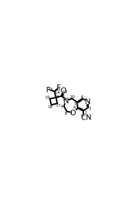 N#Cc1cncc2c1OCCN(C(=O)C1(C(F)F)CCC1)C2